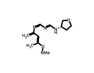 C=C(/C=C(\C)ONC)/N=C\N=C\N[C@H]1CCOC1